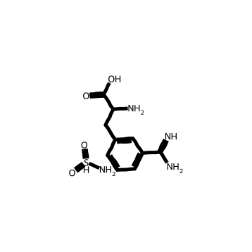 N=C(N)c1cccc(CC(N)C(=O)O)c1.N[SH](=O)=O